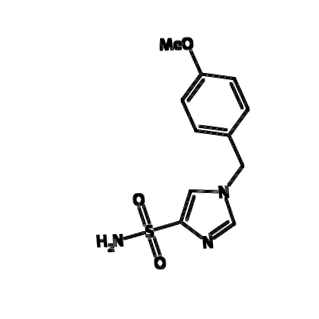 COc1ccc(Cn2cnc(S(N)(=O)=O)c2)cc1